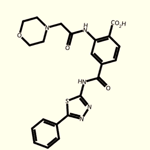 O=C(CN1CCOCC1)Nc1cc(C(=O)Nc2nnc(-c3ccccc3)s2)ccc1C(=O)O